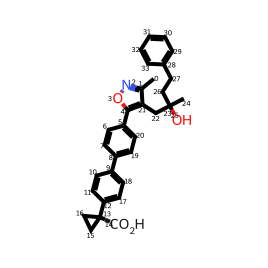 Cc1noc(-c2ccc(-c3ccc(C4(C(=O)O)CC4)cc3)cc2)c1CC(C)(O)CCc1ccccc1